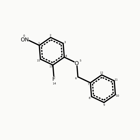 O=Nc1ccc(OCc2ccccc2)c(F)c1